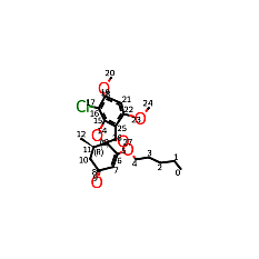 CCCCCOC1=CC(=O)C[C@@H](C)[C@]12Oc1c(Cl)c(OC)cc(OC)c1C2=O